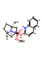 CC(C)(C)OC(=O)N1[C@@H]2CC[C@H]1C[C@@H](Oc1ccc3ccccc3n1)C2